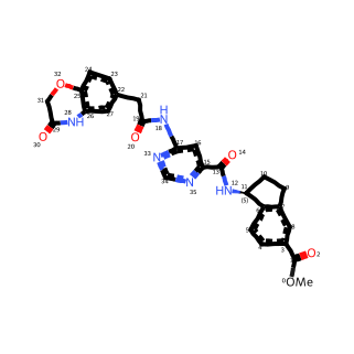 COC(=O)c1ccc2c(c1)CC[C@@H]2NC(=O)c1cc(NC(=O)Cc2ccc3c(c2)NC(=O)CO3)ncn1